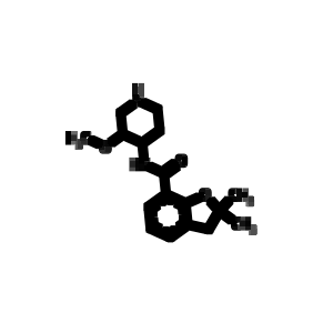 COC1CNCCC1NC(=O)c1cccc2c1OC(C)(C)C2